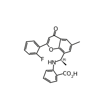 Cc1cc([C@@H](C)Nc2ccccc2C(=O)O)c2oc(-c3ccccc3F)cc(=O)c2c1